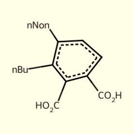 CCCCCCCCCc1ccc(C(=O)O)c(C(=O)O)c1CCCC